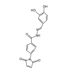 O=C(N/N=C/c1ccc(O)c(O)c1)c1ccc(N2C(=O)C=CC2=O)cc1